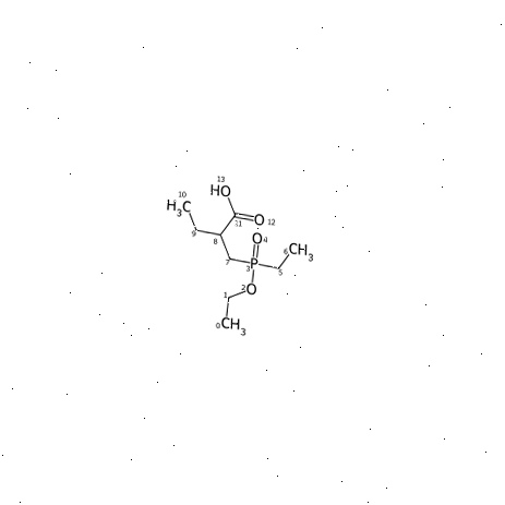 CCOP(=O)(CC)CC(CC)C(=O)O